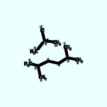 CN(C)CCN(C)C.[CH3][Pd]([CH3])[Cl]